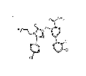 NC(=O)c1ccc(-c2cccc(Cl)c2Cl)cc1Cn1nc(-c2ccc(Cl)cc2)n(CCC(F)(F)F)c1=O